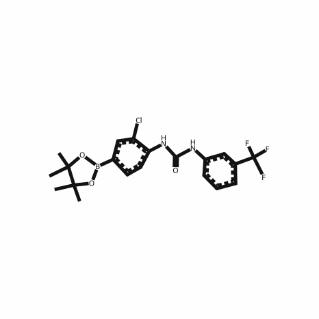 CC1(C)OB(c2ccc(NC(=O)Nc3cccc(C(F)(F)F)c3)c(Cl)c2)OC1(C)C